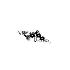 COc1cc(-c2ccc3c(c2)Nc2cc(NS(=O)(=O)CCCN(C)C)ccc2NC3=O)ccc1[N+](=O)[O-]